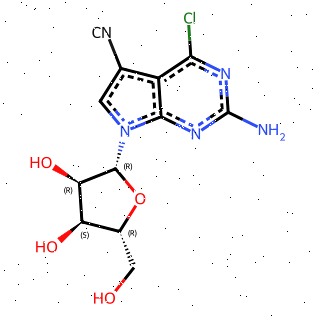 [C-]#[N+]c1cn([C@@H]2O[C@H](CO)[C@@H](O)[C@H]2O)c2nc(N)nc(Cl)c12